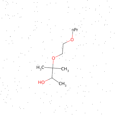 CCCOCCOC(C)(C)C(C)O